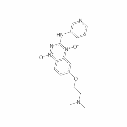 CN(C)CCOc1ccc2c(c1)[n+]([O-])c(Nc1cccnc1)n[n+]2[O-]